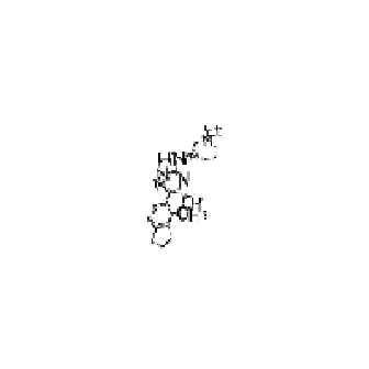 CCN1CCC[C@@H](Nc2nnc(-c3ccc4c(c3O)CCC4)c(C)n2)C1